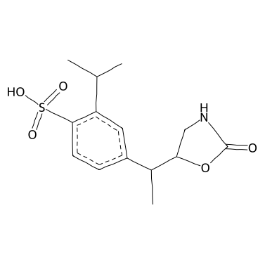 CC(C)c1cc(C(C)C2CNC(=O)O2)ccc1S(=O)(=O)O